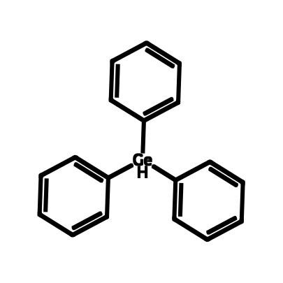 c1cc[c]([GeH]([c]2ccccc2)[c]2ccccc2)cc1